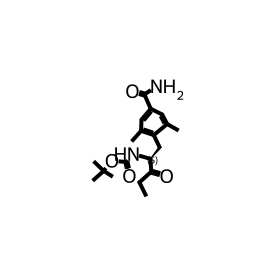 CCC(=O)[C@H](Cc1c(C)cc(C(N)=O)cc1C)NC(=O)OC(C)(C)C